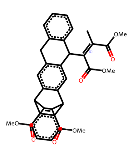 COC(=O)C1=C(C(=O)OC)C2c3ccccc3C1c1cc3c(cc12)C(/C(C(=O)OC)=C(\C)C(=O)OC)c1ccccc1C3